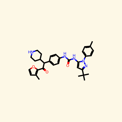 Cc1ccc(-n2nc(C(C)(C)C)cc2NC(=O)Nc2ccc(C(C(=O)c3occc3C)C3CCNCC3)cc2)cc1